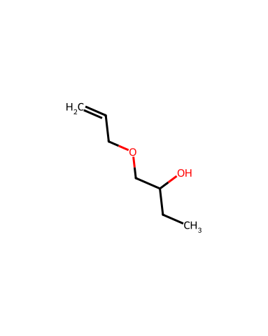 C=CCOCC(O)CC